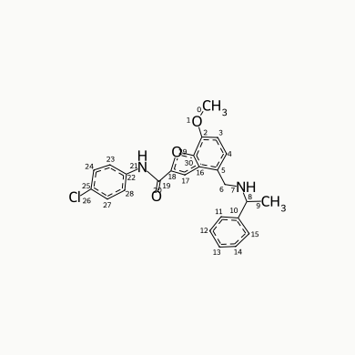 COc1ccc(CNC(C)c2ccccc2)c2cc(C(=O)Nc3ccc(Cl)cc3)oc12